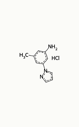 Cc1cc(N)cc(-n2cccn2)c1.Cl